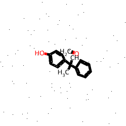 C=O.CC(C)(c1ccccc1)c1ccc(O)cc1